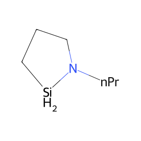 CCCN1CCC[SiH2]1